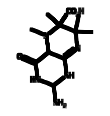 CN1C2C(=O)NC(N)NC2=NC(C)(C)C1(C)C(=O)O